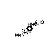 CNC(=O)Nc1ccc(NNC=O)cc1